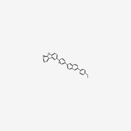 CCc1ccc(-c2ccc3cc(-c4ccc(-c5ccc6oc7ncccc7c6c5)nc4)ccc3c2)cc1